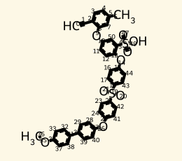 C#Cc1ccc(C)cc1Oc1ccc(Oc2ccc(S(=O)(=O)c3ccc(Oc4ccc(-c5ccc(OC)cc5)cc4)cc3)cc2)c(S(=O)(=O)O)c1